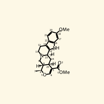 COC(=O)C1=CO[C@@H](C)[C@@H]2CN3CCc4c([nH]c5cc(OC)ccc45)[C@H]3C[C@H]12